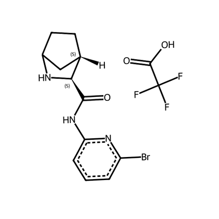 O=C(Nc1cccc(Br)n1)[C@H]1NC2CC[C@H]1C2.O=C(O)C(F)(F)F